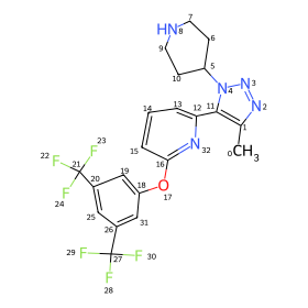 Cc1nnn(C2CCNCC2)c1-c1cccc(Oc2cc(C(F)(F)F)cc(C(F)(F)F)c2)n1